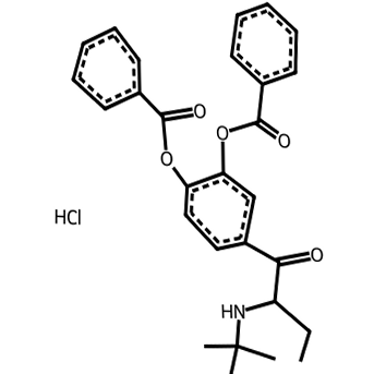 CCC(NC(C)(C)C)C(=O)c1ccc(OC(=O)c2ccccc2)c(OC(=O)c2ccccc2)c1.Cl